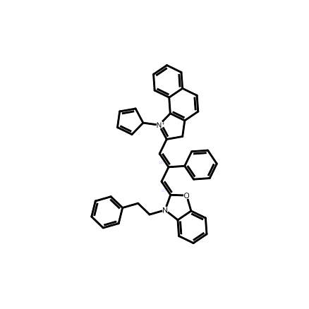 C1=CC([N+]2=C(/C=C(/C=C3\Oc4ccccc4N3CCc3ccccc3)c3ccccc3)Cc3ccc4ccccc4c32)C=C1